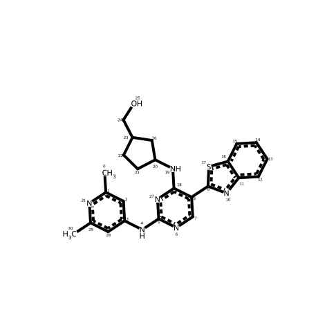 Cc1cc(Nc2ncc(-c3nc4ccccc4s3)c(NC3CCC(CO)C3)n2)cc(C)n1